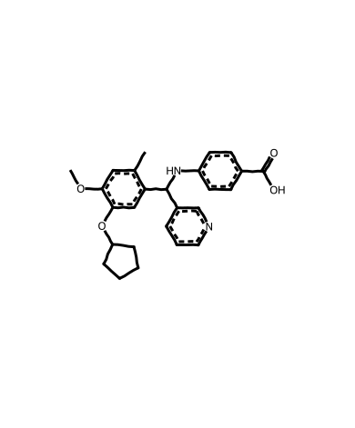 COc1cc(C)c(C(Nc2ccc(C(=O)O)cc2)c2cccnc2)cc1OC1CCCC1